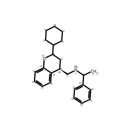 CC(NC[C@@H]1CC(C2CCCCC2)Oc2ccccc21)c1ccccc1